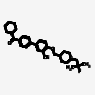 CC(C)(F)CN1CCC(COc2ccc(-c3ccc(C(=O)N4CCCCC4)cc3)cc2C#N)CC1